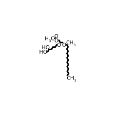 CCCCCCCCCCCCCCCC(C)OCC(COC(C)=O)OCCCCC(O)CO